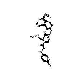 COCC1C(=O)N(Cc2ccc3c(N)ncnc3c2)CCN1C(=O)CNc1ccc(Cl)nc1